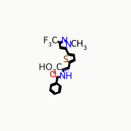 Cn1nc(C(F)(F)F)cc1-c1ccc(/C=C(/NC(=O)c2ccccc2)C(=O)O)s1